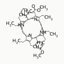 CCC1=C(CC)c2nc1cc1[nH]c(c(CC)c1CC)c(-c1ccccc1CC(=O)OC)c1nc(cc3[nH]c(c(CC)c3CC)c2-c2ccc(OC)cc2)C(CC)=C1CC